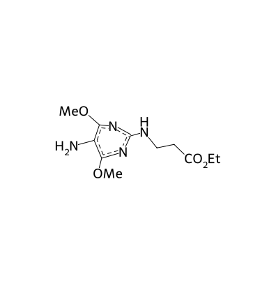 CCOC(=O)CCNc1nc(OC)c(N)c(OC)n1